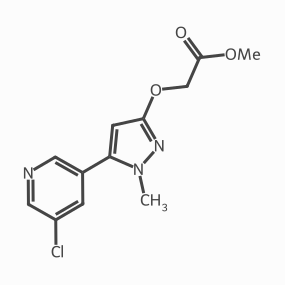 COC(=O)COc1cc(-c2cncc(Cl)c2)n(C)n1